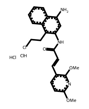 COc1ccc(C=CC(=O)Nc2cc(N)c3ccccc3c2CCCl)c(OC)n1.Cl.Cl